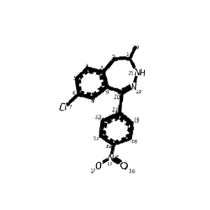 CC1Cc2ccc(Cl)cc2C(c2ccc([N+](=O)[O-])cc2)=NN1